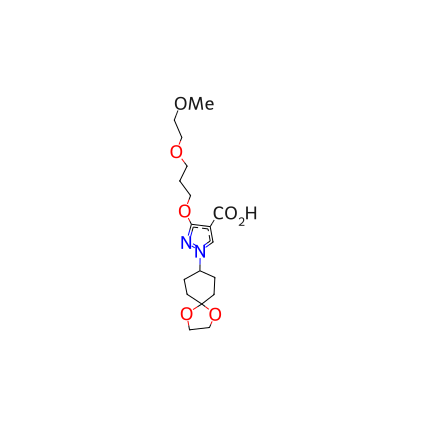 COCCOCCCOc1nn(C2CCC3(CC2)OCCO3)cc1C(=O)O